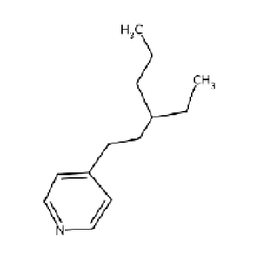 CCCC(CC)CCc1ccncc1